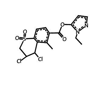 CCn1nccc1OC(=O)c1ccc2c(c1C)C(Cl)C(Cl)CS2(=O)=O